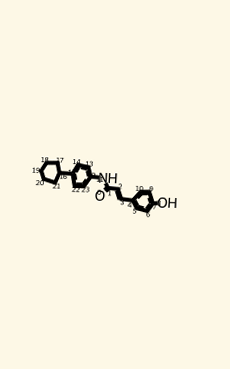 O=C(C=Cc1ccc(O)cc1)Nc1ccc(C2CCCCC2)cc1